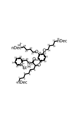 CCCCCCCCCCCCCCCCC(Oc1ccc(OCCCCCCCCCCCCCC)c(OCCCCCCCCCCCCCC)c1)C(=O)NCc1cccc[n+]1CC.[I-]